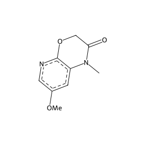 COc1cnc2c(c1)N(C)C(=O)CO2